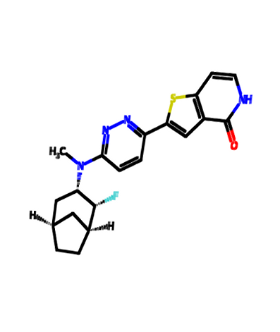 CN(c1ccc(-c2cc3c(=O)[nH]ccc3s2)nn1)[C@H]1C[C@@H]2CC[C@@H](C2)[C@H]1F